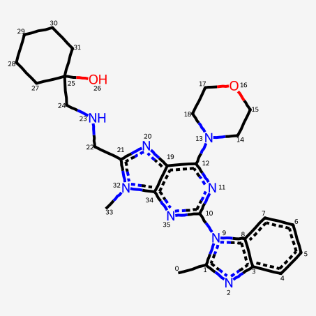 Cc1nc2ccccc2n1-c1nc(N2CCOCC2)c2nc(CNCC3(O)CCCCC3)n(C)c2n1